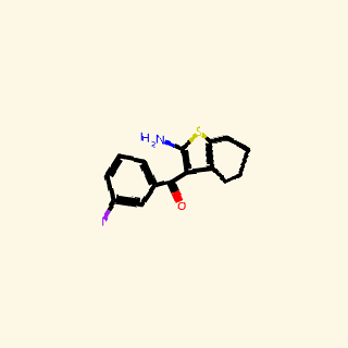 Nc1sc2c(c1C(=O)c1cccc(I)c1)CCCC2